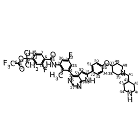 Cc1c(NC(=O)c2ccc(C(C)(C)OC(=O)C(F)(F)F)cc2F)cc(F)cc1-c1ncnc2[nH]c(-c3ccc(OC4CCN(CC5CCNCC5)CC4)cc3)cc12